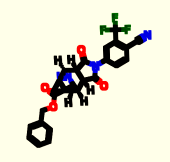 N#Cc1ccc(N2C(=O)[C@@H]3[C@H](C2=O)[C@@H]2C4CC4[C@@H]3N[C@H]2C(=O)OCc2ccccc2)cc1C(F)(F)F